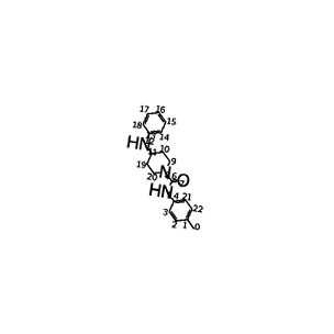 Cc1ccc(NC(=O)N2CCC(Nc3ccccc3)CC2)cc1